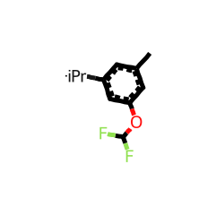 C[C](C)c1cc(C)cc(OC(F)F)c1